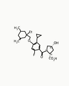 C=C1CC(C)CC(CC)(COc2cc(F)c(C(=O)N3C[C@H](O)C[C@@H]3C(=O)O)cc2C2CC2)C1